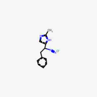 Cc1ncc(C(Cc2ccccc2)[N+]#N)[nH]1.[Cl-]